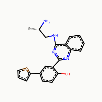 CC[C@H](N)CNc1nc(-c2cc(-c3cccs3)ccc2O)nc2ccccc12